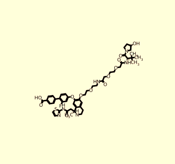 CC(C)(C)[C@H](NC(=O)COCCOCC(=O)NCCOCCOc1cc2c(cc1Oc1ccc(-c3ccc(C(=O)O)cc3)c(F)c1)[C@@](C)(CC(=O)Nc1nccs1)NCC2)C(=O)N1CC[C@@H](O)C1